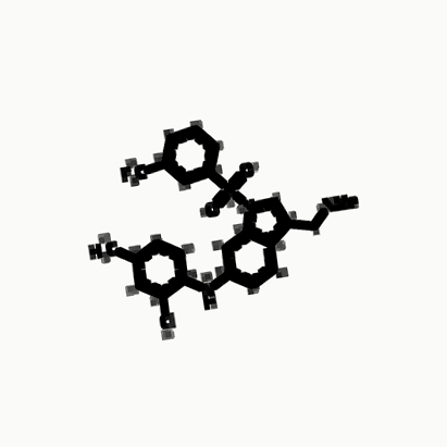 CNCc1cn(S(=O)(=O)c2cccc(C(F)(F)F)c2)c2cc(Nc3ccc(C)cc3Cl)ccc12